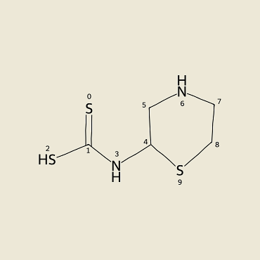 S=C(S)NC1CNCCS1